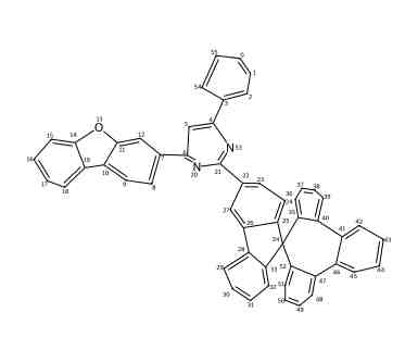 c1ccc(-c2cc(-c3ccc4c(c3)oc3ccccc34)nc(-c3ccc4c(c3)-c3ccccc3C43c4ccccc4-c4ccccc4-c4ccccc43)n2)cc1